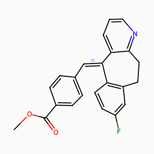 COC(=O)c1ccc(/C=C2\c3ccc(F)cc3CCc3ncccc32)cc1